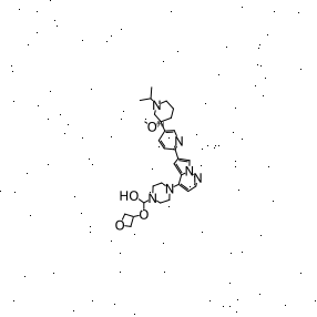 CO[C@@]1(c2ccc(-c3cc4c(N5CCN(C(O)OC6COC6)CC5)ccnn4c3)nc2)CCCN(C(C)C)C1